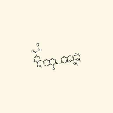 Cc1ccc(C(=O)NC2CC2)cc1-c1ccc2c(=O)n(Cc3ccc(CN(C)C(C)(C)C)cc3)ccc2c1